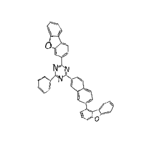 C1=CCCC(c2nc(-c3ccc4ccc(-c5cccc6oc7ccccc7c56)cc4c3)nc(-c3ccc4c(c3)oc3ccccc34)n2)=C1